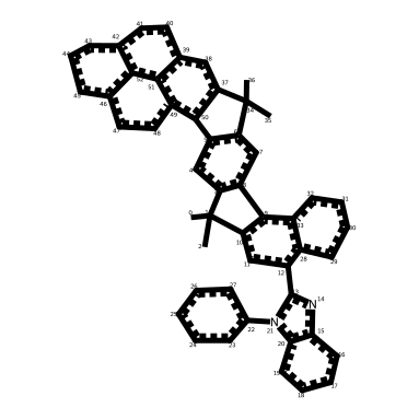 CC1(C)c2cc3c(cc2-c2c1cc(-c1nc4ccccc4n1-c1ccccc1)c1ccccc21)C(C)(C)c1cc2ccc4cccc5ccc(c1-3)c2c45